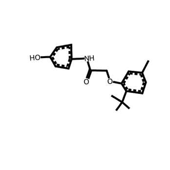 Cc1ccc(C(C)(C)C)c(OCC(=O)Nc2ccc(O)cc2)c1